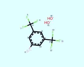 [B+2]c1cc(C(F)(F)F)cc(C(F)(F)F)c1.[OH-].[OH-]